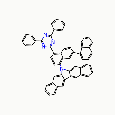 c1ccc(-c2nc(-c3ccccc3)nc(-c3ccc(-n4c5cc6ccccc6cc5c5cc6ccccc6cc54)c4cc(-c5cccc6ccccc56)ccc34)n2)cc1